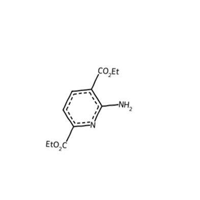 CCOC(=O)c1ccc(C(=O)OCC)c(N)n1